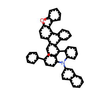 c1ccc(-c2ccc(N(c3ccc4ccccc4c3)c3ccccc3-c3cccc4c5ccc6oc7ccccc7c6c5c5ccccc5c34)cc2)cc1